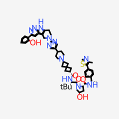 Cc1ncsc1-c1ccc([C@H](C)NC(=O)[C@@H]2C[C@@H](O)CN2C(=O)[C@@H](NC(=O)[C@H]2CC3(C2)C[C@H](N2CCC(c4cnc(N5CCc6[nH]c7nnc(-c8ccccc8O)cc7c6C5)nc4)CC2)C3)C(C)(C)C)cc1